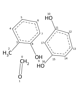 C=O.Cc1ccccc1O.Oc1cccc(O)c1